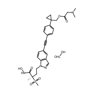 CN(C)CC(=O)OCC1(c2ccc(C#Cc3ccc4c(cnn4CC[C@](C)(C(=O)NO)S(C)(=O)=O)c3)cc2)CC1.O=CO